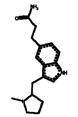 CN1CCCC1Cc1c[nH]c2ccc(CCC(N)=O)cc12